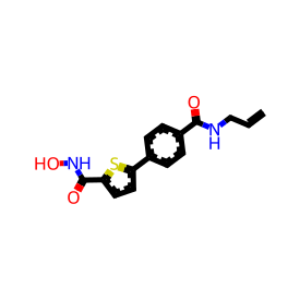 C=CCNC(=O)c1ccc(-c2ccc(C(=O)NO)s2)cc1